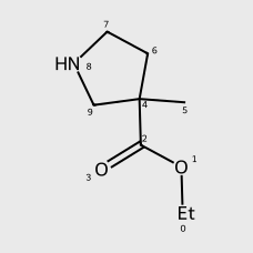 CCOC(=O)C1(C)CCNC1